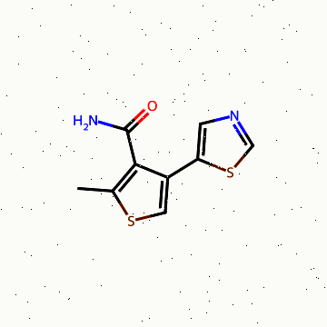 Cc1scc(-c2cncs2)c1C(N)=O